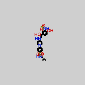 CC(C)CNS(=O)(=O)c1ccc(N2CCC(NCC(O)c3ccc(O)c(NS(C)(=O)=O)c3)CC2)cc1